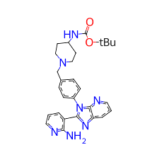 CC(C)(C)OC(=O)NC1CCN(Cc2ccc(-n3c(-c4cccnc4N)nc4cccnc43)cc2)CC1